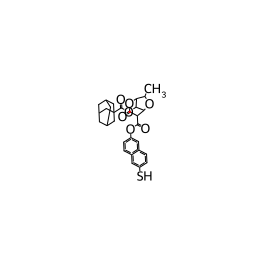 CC1OC2C(C(=O)Oc3ccc4cc(S)ccc4c3)C(=O)OC1C2OC(=O)C12CC3CC(CC(C3)C1)C2